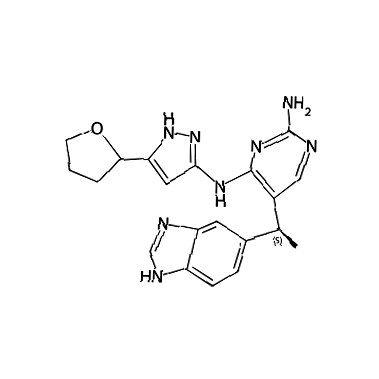 C[C@@H](c1ccc2[nH]cnc2c1)c1cnc(N)nc1Nc1cc(C2CCCO2)[nH]n1